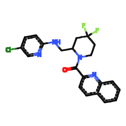 O=C(c1ccc2ccccc2n1)N1CCC(F)(F)CC1CNc1ccc(Cl)cn1